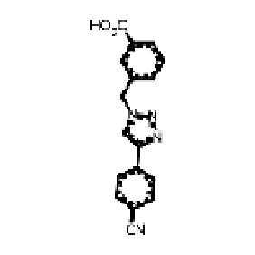 N#Cc1ccc(-c2cn(Cc3cccc(C(=O)O)c3)nn2)cc1